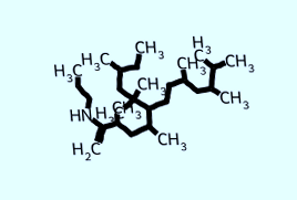 C=C(NCCC)C(C)CC(C)C(CCC(C)CC(C)C(C)C)C(C)(C)CC(C)CC